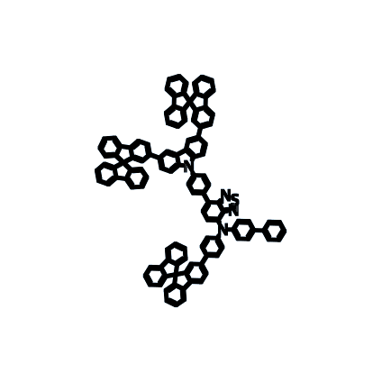 c1ccc(-c2ccc(N(c3ccc(-c4ccc5c(c4)C4(c6ccccc6-c6ccccc64)c4ccccc4-5)cc3)c3ccc(-c4ccc(-n5c6ccc(-c7ccc8c(c7)C7(c9ccccc9-c9ccccc97)c7ccccc7-8)cc6c6cc(-c7ccc8c(c7)C7(c9ccccc9-c9ccccc97)c7ccccc7-8)ccc65)cc4)c4nsnc34)cc2)cc1